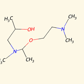 CC(O)CN(C)C(C)OCCN(C)C